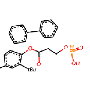 Cc1ccc(OC(=O)CCO[PH](=O)O)c(C(C)(C)C)c1.c1ccc(-c2ccccc2)cc1